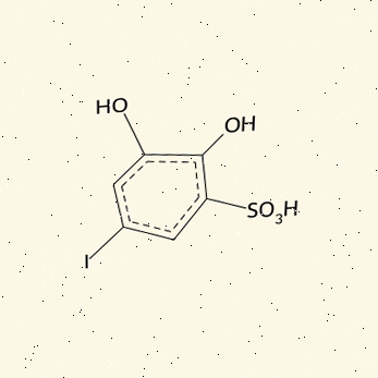 O=S(=O)(O)c1cc(I)cc(O)c1O